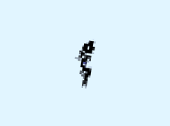 Cc1ccc(S(=O)(=O)N/N=C/c2ccc(C#N)s2)cc1